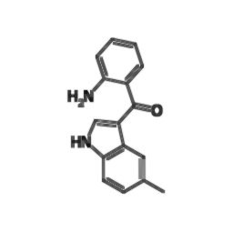 Cc1ccc2[nH]cc(C(=O)c3ccccc3N)c2c1